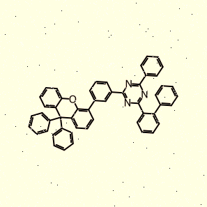 c1ccc(-c2nc(-c3cccc(-c4cccc5c4Oc4ccccc4C5(c4ccccc4)c4ccccc4)c3)nc(-c3ccccc3-c3ccccc3)n2)cc1